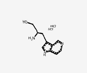 Cl.Cl.NC(CO)Cc1c[nH]c2ccncc12